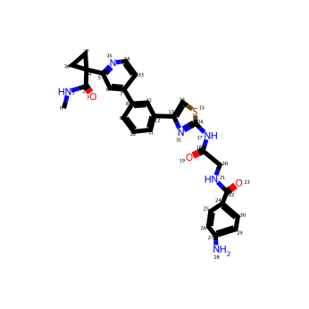 CNC(=O)C1(c2cc(-c3cccc(-c4csc(NC(=O)CNC(=O)c5ccc(N)cc5)n4)c3)ccn2)CC1